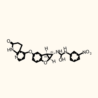 O=C1CCc2c(Oc3ccc4c(c3)[C@H]3[C@H](NC(O)Nc5cccc([N+](=O)[O-])c5)[C@H]3O4)ccnc2N1